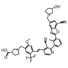 COc1cc(/C=C/c2ccnc(-c3cccc(-c4nc5cc(CN6CC[C@@H](O)C6)cc(C#N)c5o4)c3C)c2C#N)c(C(F)(F)F)cc1CN1CC[C@@H](C(=O)O)C1